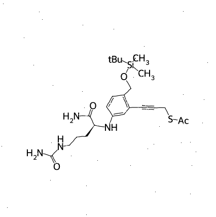 CC(=O)SCC#Cc1cc(N[C@@H](CCCNC(N)=O)C(N)=O)ccc1CO[Si](C)(C)C(C)(C)C